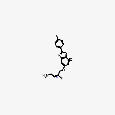 Cc1ccc(-c2nc3cc(OC/C(F)=C\CN)ccc3s2)cc1.Cl